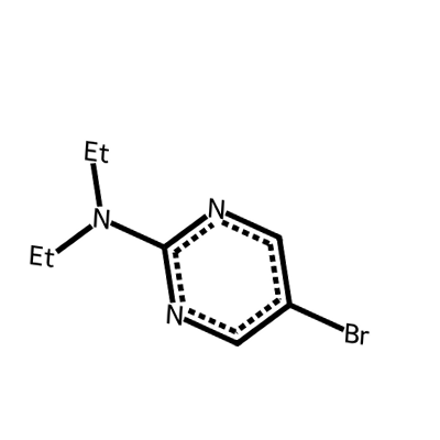 CCN(CC)c1ncc(Br)cn1